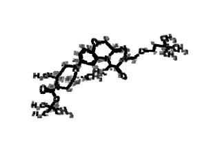 CC1C(=O)N(COCC[Si](C)(C)C)N=C2COc3ccc(N4C[C@H](C)N(C(=O)OC(C)(C)C)C[C@H]4C)cc3N21